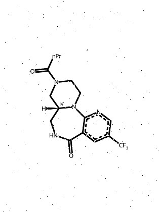 CCCC(=O)N1CCN2c3ncc(C(F)(F)F)cc3C(=O)NC[C@@H]2C1